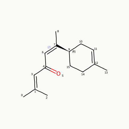 CC(C)=CC(=O)/C=C(/C)[C@H]1CC=C(C)CC1